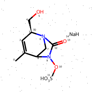 CC1=C[C@@H](CO)N2CC1N(OS(=O)(=O)O)C2=O.[NaH]